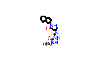 CCCCNC(=O)Nc1nc(C)c(C(=O)Nc2ccc3ccccc3c2)s1